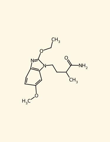 CCOc1nc2ccc(OC)cc2n1CCC(C)C(N)=O